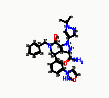 CC(C)n1cc(-n2nc(C(N)=O)c3c2C(=O)N(Cc2ccccc2)CC3c2cccc(N3C=CON3)c2)cn1